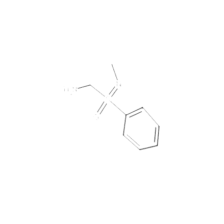 CN=S(=O)(CN)c1ccccc1